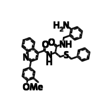 COc1ccc(-c2cc(C(=O)NC(CSCc3ccccc3)C(=O)NCc3ccccc3N)c3ccccc3n2)cc1C